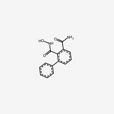 NC(=O)c1cccc(-c2ccccc2)c1C(=O)NO